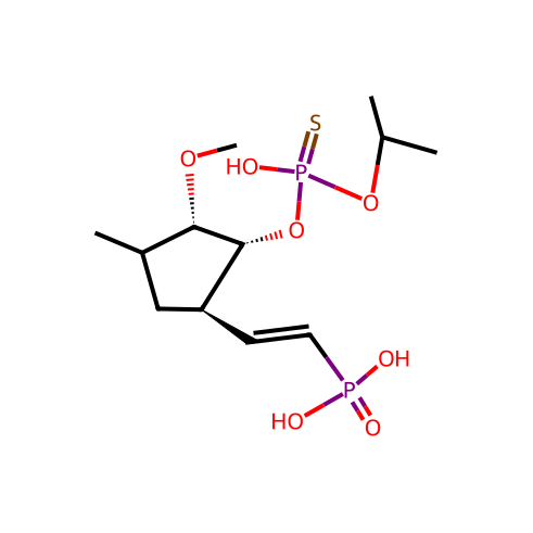 CO[C@H]1C(C)C[C@H](/C=C/P(=O)(O)O)[C@H]1OP(O)(=S)OC(C)C